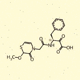 COC1SC=CN(CC(=O)N[C@@H](Cc2ccccc2)C(=O)C(=O)O)C1=O